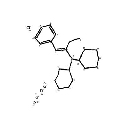 CCC(=Cc1ccccc1)P(C1CCCCC1)C1CCCCC1.[Cl-].[Cl-].[Cl-].[Cl-].[Zr+4]